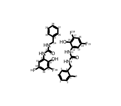 Cc1ccccc1CNC(=O)Nc1cc(F)cc(F)c1O.O=C(NCc1ccccc1)Nc1cc(F)cc(F)c1O